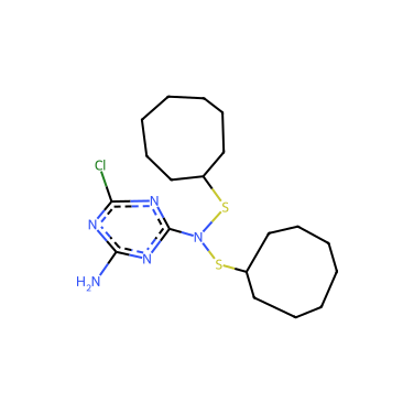 Nc1nc(Cl)nc(N(SC2CCCCCCC2)SC2CCCCCCC2)n1